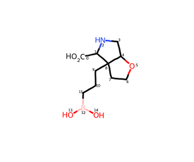 O=C(O)C1NCC2OCCC21CCCB(O)O